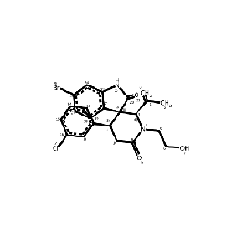 C=C(C)[C@H]1N(CCO)C(=O)C[C@@H](c2cccc(Cl)c2)[C@]12C(=O)Nc1cc(Br)ccc12